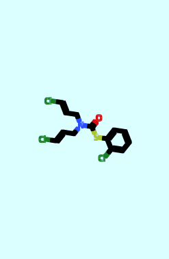 O=C(Sc1ccccc1Cl)N(CC=CCl)CC=CCl